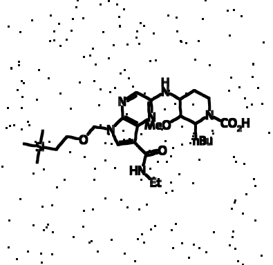 CCCCC1C(OC)C(Nc2cnc3c(n2)c(C(=O)NCC)cn3COCC[Si](C)(C)C)CCN1C(=O)O